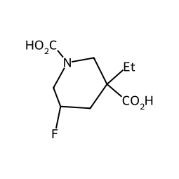 CCC1(C(=O)O)CC(F)CN(C(=O)O)C1